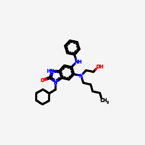 CCCCCN(CCO)c1cc2c(cc1Nc1ccccc1)[nH]c(=O)n2CC1CCCCC1